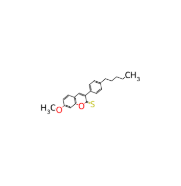 CCCCCc1ccc(-c2cc3ccc(OC)cc3oc2=S)cc1